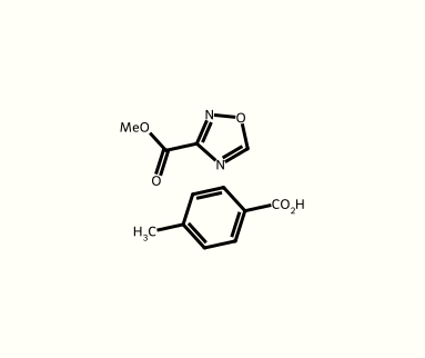 COC(=O)c1ncon1.Cc1ccc(C(=O)O)cc1